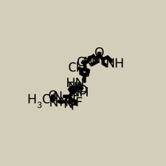 Cc1nc(Cn2cc(-c3cnc(C(=O)NCc4ccc(C(=O)N5CCN(C(=O)C6CCNCC6)CC5)c(Cl)c4)[nH]3)c(C(F)(F)F)n2)no1